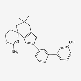 CC1(C)Cc2sc(-c3cccc(-c4cccc(O)c4)c3)cc2C2(CCSC(N)=N2)C1